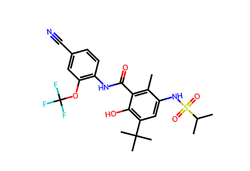 Cc1c(NS(=O)(=O)C(C)C)cc(C(C)(C)C)c(O)c1C(=O)Nc1ccc(C#N)cc1OC(F)(F)F